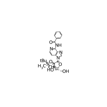 CC(C)(C)[Si](C)(C)O[C@@H]1[C@H](O)[C@@H](CO)O[C@H]1n1cnc2c(NC(=O)c3ccccc3)nccc21